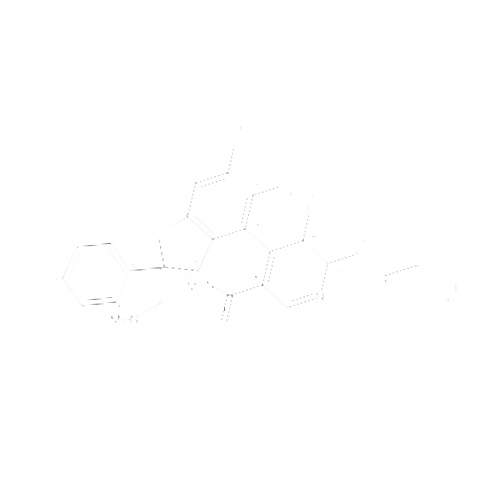 CNC[C@]1(c2ccccc2)Oc2cc(F)c(Cl)c(-c3c(C(=O)NC)cnc(OCCO)c3F)c2[C@@H]1C